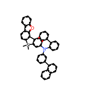 C[Si]1(C)c2cc(N(c3cccc(-c4cccc5ccccc45)c3)c3ccccc3-c3ccccc3)ccc2-c2c1ccc1c2oc2ccccc21